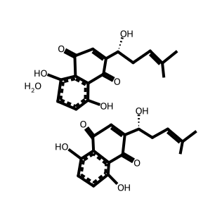 CC(C)=CC[C@@H](O)C1=CC(=O)c2c(O)ccc(O)c2C1=O.CC(C)=CC[C@@H](O)C1=CC(=O)c2c(O)ccc(O)c2C1=O.O